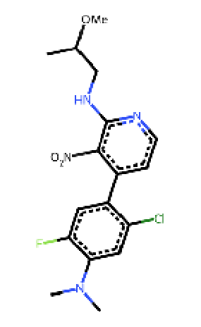 COC(C)CNc1nccc(-c2cc(F)c(N(C)C)cc2Cl)c1[N+](=O)[O-]